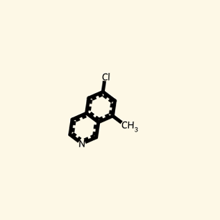 Cc1cc(Cl)cc2ccncc12